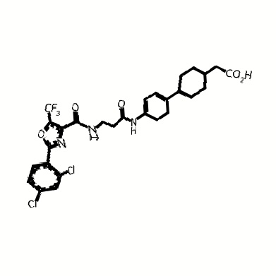 O=C(O)CC1CCC(C2=CC=C(NC(=O)CCNC(=O)c3nc(-c4ccc(Cl)cc4Cl)oc3C(F)(F)F)CC2)CC1